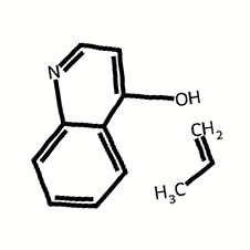 C=CC.Oc1ccnc2ccccc12